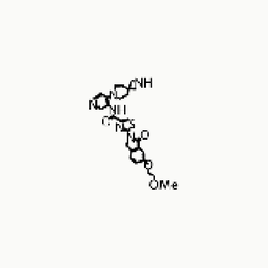 COCCOc1ccc2c(c1)C(=O)N(c1nc(C(=O)Nc3cnccc3N3CCC4(CC3)CNC4)cs1)C2